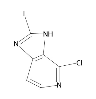 Clc1nccc2nc(I)[nH]c12